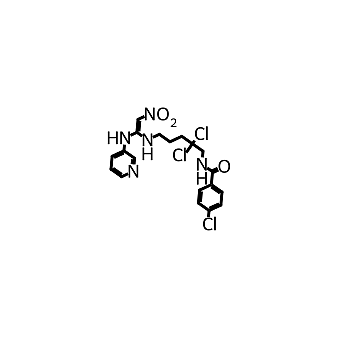 O=C(NCC(Cl)(Cl)CCCNC(=C[N+](=O)[O-])Nc1cccnc1)c1ccc(Cl)cc1